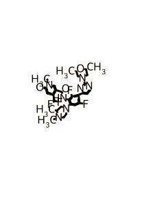 CC1CN(c2cc(F)c(-c3ccnc(N4C[C@@H](C)O[C@@H](C)C4)n3)c(F)c2NC(=O)c2cn(C)c(=O)cc2C(F)F)CCN1C